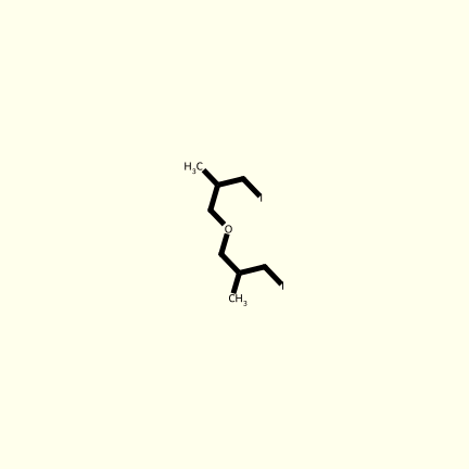 CC(CI)COCC(C)CI